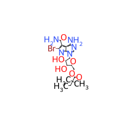 CCC(C)(C)C(=O)OC[C@@H]1O[C@H](n2cnc(N)c3c(C(N)=O)c(Br)nc2-3)[C@@H](O)[C@@H]1O